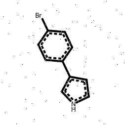 Brc1ccc(-c2cc[nH]c2)cc1